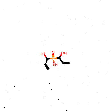 C=CC(O)P(=O)(O)C(O)C=C